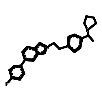 CC(c1ccc(CCn2cc3ccc(-c4ccc(F)cc4)cc3c2)cc1)N1CCCC1